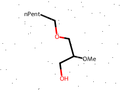 CCCCCCOCC(CO)OC